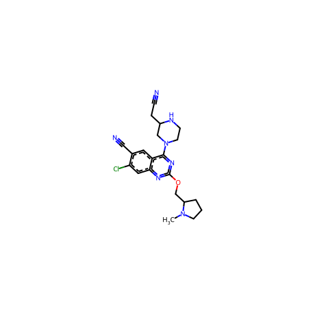 CN1CCCC1COc1nc(N2CCNC(CC#N)C2)c2cc(C#N)c(Cl)cc2n1